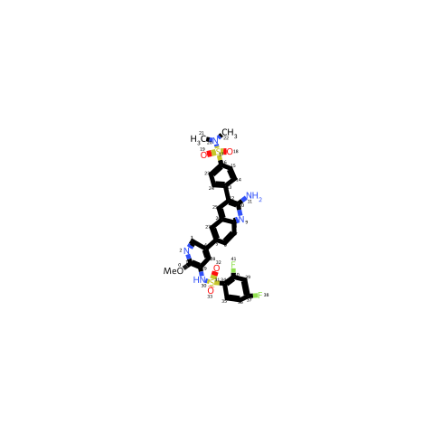 COc1ncc(-c2ccc3nc(N)c(-c4ccc(S(=O)(=O)N(C)C)cc4)cc3c2)cc1NS(=O)(=O)c1ccc(F)cc1F